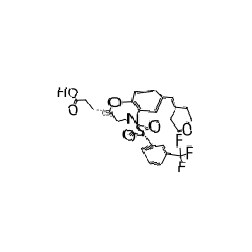 O=C(O)CC[C@H]1CN(S(=O)(=O)c2cccc(C(F)(F)F)c2)c2cc(C=C3CCOCC3)ccc2O1